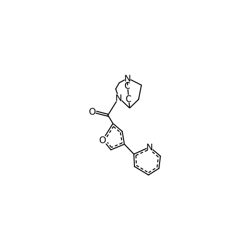 O=C(c1cc(-c2ccccn2)co1)N1CCN2CCC1CC2